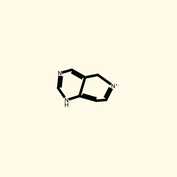 C1=NC=C2C[N+]=CC=C2N1